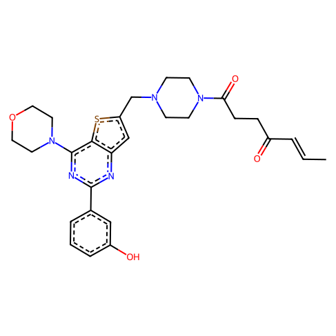 C/C=C/C(=O)CCC(=O)N1CCN(Cc2cc3nc(-c4cccc(O)c4)nc(N4CCOCC4)c3s2)CC1